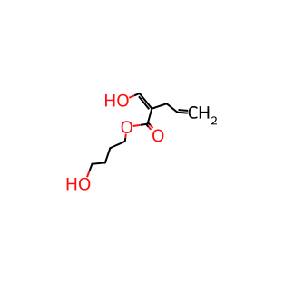 C=CCC(=CO)C(=O)OCCCCO